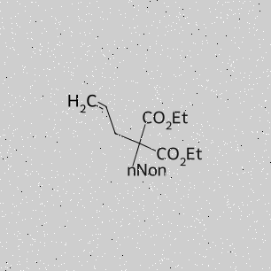 C=CCC(CCCCCCCCC)(C(=O)OCC)C(=O)OCC